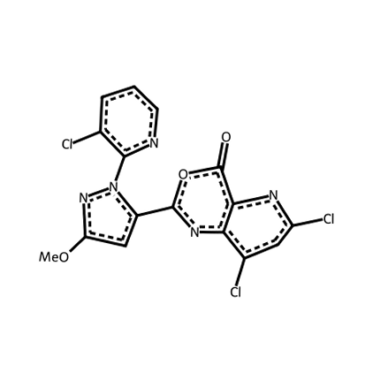 COc1cc(-c2nc3c(Cl)cc(Cl)nc3c(=O)o2)n(-c2ncccc2Cl)n1